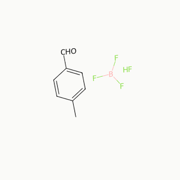 Cc1ccc(C=O)cc1.F.FB(F)F